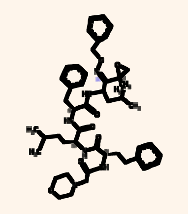 CC(C)CC[C@H](NC(=O)[C@H](CCc1ccccc1)NC(=O)CN1CCOCC1)C(=O)N[C@@H](Cc1ccccc1)C(=O)NC(CC(C)C)/C(=N/OCc1ccccc1)[C@@]1(C)CO1